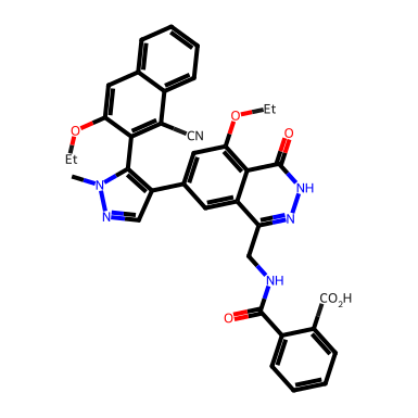 CCOc1cc2ccccc2c(C#N)c1-c1c(-c2cc(OCC)c3c(=O)[nH]nc(CNC(=O)c4ccccc4C(=O)O)c3c2)cnn1C